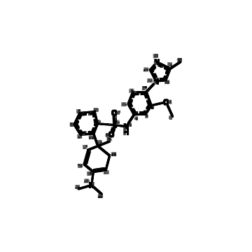 COc1cc(NS(=O)(=O)c2ccccc2C2(C)C=CC(N(C)C)=CC2)ccc1-n1cnc(C)c1